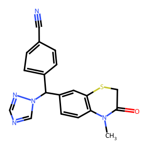 CN1C(=O)CSc2cc(C(c3ccc(C#N)cc3)n3cncn3)ccc21